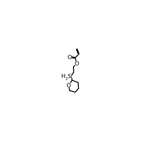 C=CC(=O)OCC[SiH2]C1CCCCO1